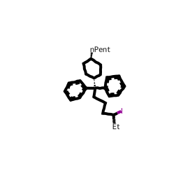 CCCCC[C@H]1CC[C@H](C(CCCC(I)CC)(c2ccccc2)c2ccccc2)CC1